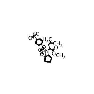 COC(=O)[C@H](CC(C)C)NP(=O)(Oc1ccccc1)Oc1ccc([N+](=O)[O-])cc1